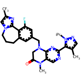 Cc1cnn(C(C)C)c1-c1ncc2c(n1)N(Cc1cc(F)c3c(c1)CCCn1cc(C(F)(F)F)nc1-3)CC(=O)N2C